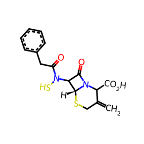 C=C1CS[C@@H]2C(N(S)C(=O)Cc3ccccc3)C(=O)N2C1C(=O)O